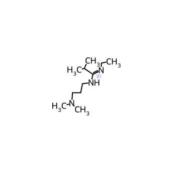 CC/N=C(/NCCCN(C)C)C(C)C